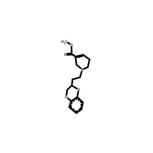 COC(=O)C1=CCCN(CCC2COc3ccccc3O2)C1